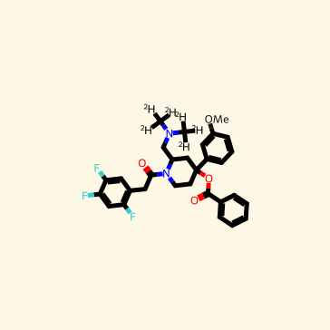 [2H]C([2H])([2H])N(CC1CC(OC(=O)c2ccccc2)(c2cccc(OC)c2)CCN1C(=O)Cc1cc(F)c(F)cc1F)C([2H])([2H])[2H]